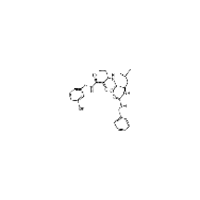 CCC(NC(=O)C(CC(C)C)NC(=O)NCc1ccccc1)C(=O)C(=O)NCc1cccc(Br)c1